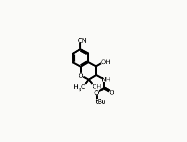 CC(C)(C)OC(=O)NC1C(O)c2cc(C#N)ccc2OC1(C)C